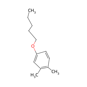 CCCCCOc1ccc(C)c(C)c1